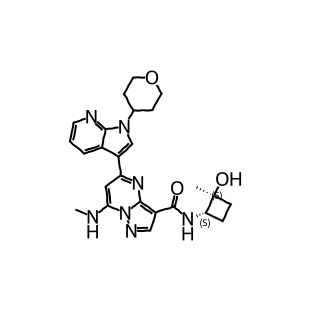 CNc1cc(-c2cn(C3CCOCC3)c3ncccc23)nc2c(C(=O)N[C@H]3CC[C@]3(C)O)cnn12